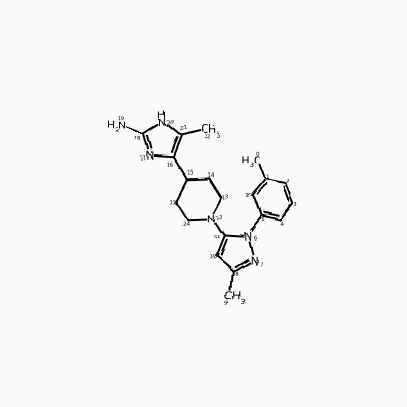 Cc1cccc(-n2nc(C)cc2N2CCC(c3nc(N)[nH]c3C)CC2)c1